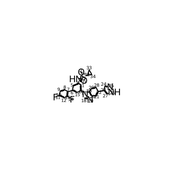 O=S(=O)(Nc1cc(-c2ccc(F)cc2F)cc(-n2cnc3cc(-c4cn[nH]c4)ccc32)c1)C1CC1